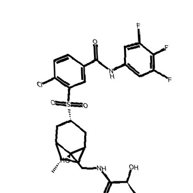 C[C@H](O)C(=O)NC[C@@]1(O)C2C[C@@H](S(=O)(=O)c3cc(C(=O)Nc4cc(F)c(F)c(F)c4)ccc3Cl)CC1[C@@H](C)C2